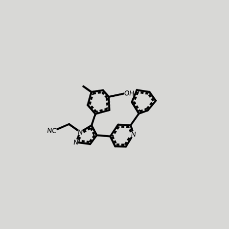 Cc1cc(O)cc(-c2c(-c3ccnc(-c4ccccc4)c3)cnn2CC#N)c1